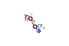 CC1=Cc2c(F)cc(OCc3ccc(-n4cccc4)c(C(F)(F)F)c3)cc2OC1